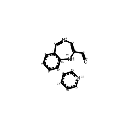 O=CC1=CN=Cc2ccccc2N1.c1ccncc1